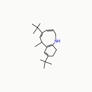 CC1/C=C(C(C)(C)C)\C=C/CNC2=C1C=C(C(C)(C)C)CC2